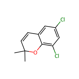 CC1(C)C=Cc2cc(Cl)cc(Cl)c2O1